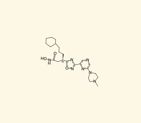 CN1CCN(c2cncc(-c3noc([C@H](CCCC4CCCCC4)CC(=O)NO)n3)n2)CC1